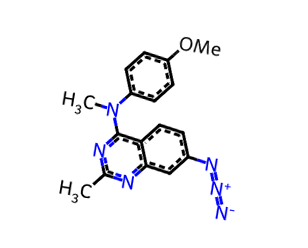 COc1ccc(N(C)c2nc(C)nc3cc(N=[N+]=[N-])ccc23)cc1